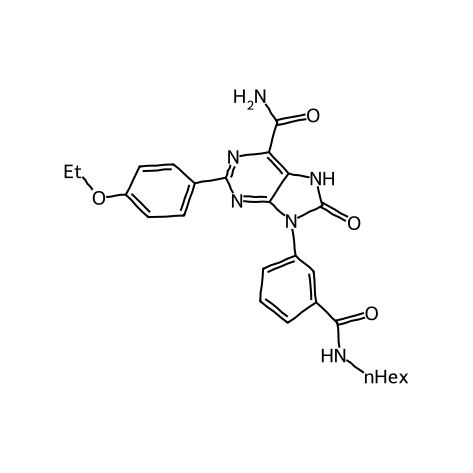 CCCCCCNC(=O)c1cccc(-n2c(=O)[nH]c3c(C(N)=O)nc(-c4ccc(OCC)cc4)nc32)c1